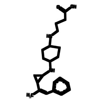 CC(=Cc1ccccc1)C1CC1NC1CCC(NCCCC(=O)O)CC1